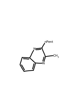 CCCCCc1nc2ccccc2nc1C